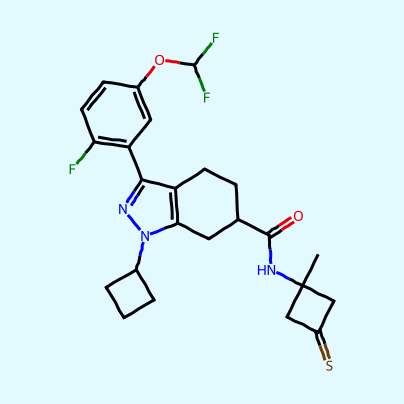 CC1(NC(=O)C2CCc3c(-c4cc(OC(F)F)ccc4F)nn(C4CCC4)c3C2)CC(=S)C1